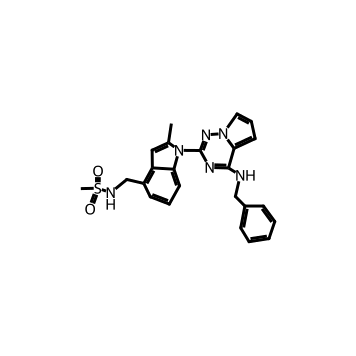 Cc1cc2c(CNS(C)(=O)=O)cccc2n1-c1nc(NCc2ccccc2)c2cccn2n1